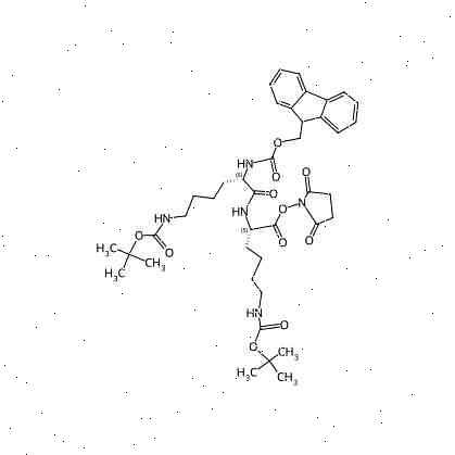 CC(C)(C)OC(=O)NCCCC[C@H](NC(=O)OCC1c2ccccc2-c2ccccc21)C(=O)N[C@@H](CCCCNC(=O)OC(C)(C)C)C(=O)ON1C(=O)CCC1=O